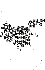 C[C@H](NC(=O)CCCCCN1C(=O)C=CC1=O)C(=O)N[C@H](C)C(=O)N[C@@H](CC(N)=O)C(=O)N[C@@H](CCN(C(=O)CO)[C@@H](c1cc(-c2cc(F)ccc2F)cn1Cc1ccccc1)C(C)(C)C)C(=O)NCCC(=O)N[C@H](CCC(=O)O)C(=O)O